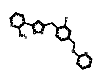 Nc1ncccc1-c1cc(Cc2ccc(COc3ccccn3)cc2F)no1